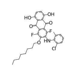 CCCCCCCCOc1c(F)c2c(c(F)c1Nc1c(C)cccc1Cl)C(=O)c1c(O)ccc(O)c1C2=O